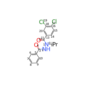 CC(C)N(NC(=O)c1ccccc1)C(=O)c1ccc(Cl)c(Cl)c1